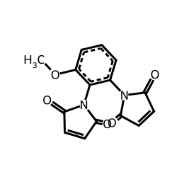 COc1cccc(N2C(=O)C=CC2=O)c1N1C(=O)C=CC1=O